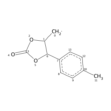 [CH2]C1OC(=O)OC1c1ccc(C)cc1